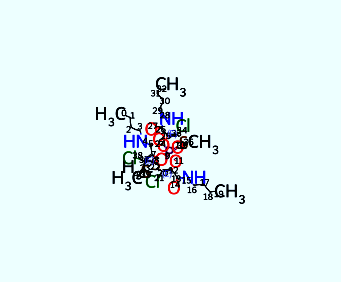 CCCCNC(=O)/C(OP(=O)(O/C(C(=O)NCCCC)=C(/Cl)SC)O/C(C(=O)NCCCC)=C(/Cl)SC)=C(\Cl)SC